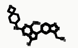 [2H]c1cc(-c2ccc3nnn(CC(F)(F)F)c3c2)c2c(OC)nc(NC3CCC4(CC3)COC4)nn12